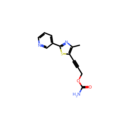 Cc1nc(-c2cccnc2)sc1C#CCOC(N)=O